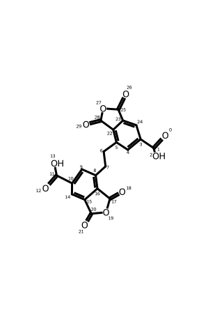 O=C(O)c1cc(CCc2cc(C(=O)O)cc3c2C(=O)OC3=O)c2c(c1)C(=O)OC2=O